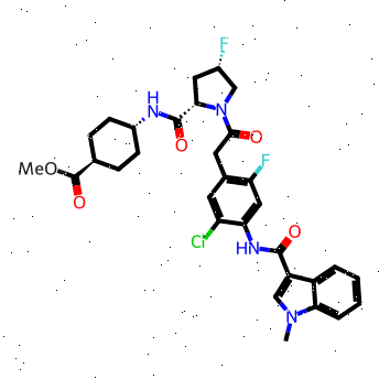 COC(=O)[C@H]1CC[C@H](NC(=O)[C@@H]2C[C@H](F)CN2C(=O)Cc2cc(Cl)c(NC(=O)c3cn(C)c4ccccc34)cc2F)CC1